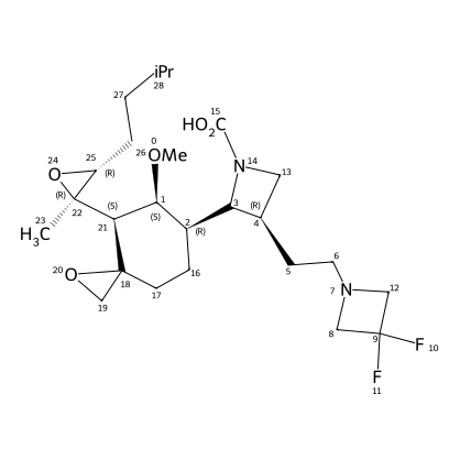 CO[C@H]1[C@@H](C2[C@H](CCN3CC(F)(F)C3)CN2C(=O)O)CCC2(CO2)[C@H]1[C@@]1(C)O[C@@H]1CCC(C)C